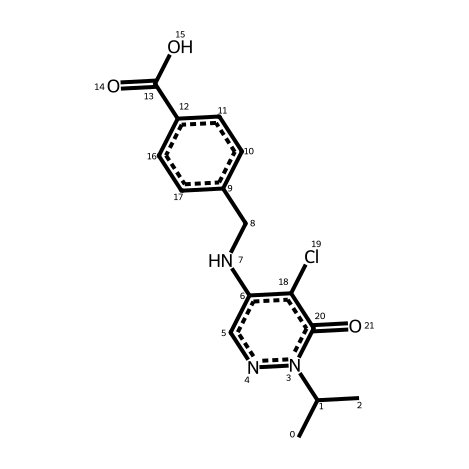 CC(C)n1ncc(NCc2ccc(C(=O)O)cc2)c(Cl)c1=O